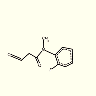 CN(C(=O)CC=O)c1ccccc1F